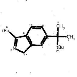 CC(C)(C)C1=NCc2cc(C(C)(C)C(C)(C)C)ccc21